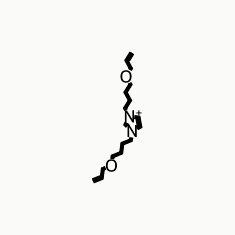 C=CCOCCCCn1cc[n+](CCCCOCC=C)c1